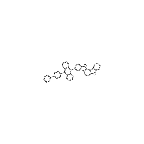 c1ccc(-c2ccc(-c3c4ccccc4c(-c4ccc5oc6c(ccc7oc8ccccc8c76)c5c4)c4ccccc34)cc2)cc1